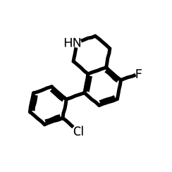 Fc1ccc(-c2ccccc2Cl)c2c1CCNC2